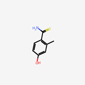 Cc1cc(O)ccc1C(N)=S